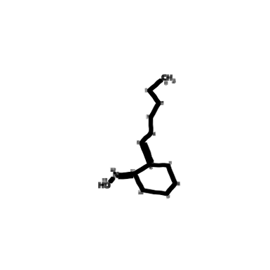 CCCCC/C=C1\CCCC\C1=N/O